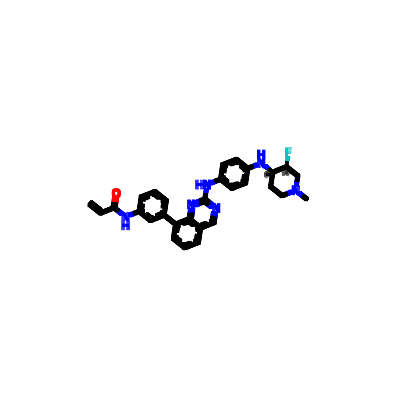 C=CC(=O)Nc1cccc(-c2cccc3cnc(Nc4ccc(N[C@@H]5CCN(C)C[C@@H]5F)cc4)nc23)c1